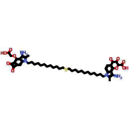 Cc1c(N)c2c3c(ccc2n1CCCCCCCCCCCCSCCCCCCCCCCCCn1c(C)c(N)c2c(OCC(=O)O)c4c(=O)c(=O)c4cc21)C(=O)C(=O)C(C(=O)O)O3